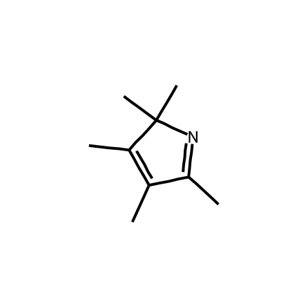 CC1=NC(C)(C)C(C)=C1C